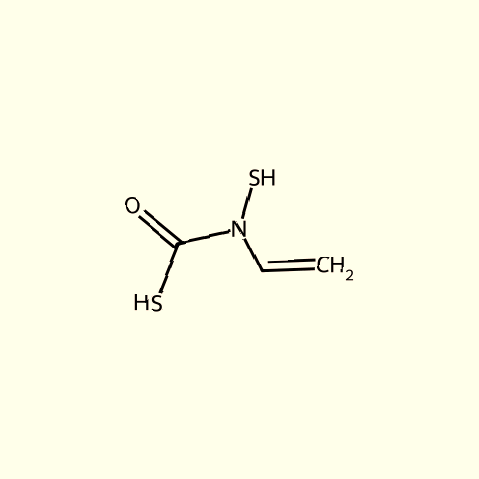 C=CN(S)C(=O)S